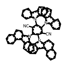 N#Cc1c(-n2c3ccccc3c3ccccc32)c(-n2c3ccccc3c3ccccc32)c(C#N)c(-n2c3ccccc3c3c4ccccc4ccc32)c1-n1c2ccccc2c2c3ccccc3ccc21